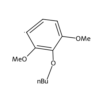 CCCCOc1c(OC)[c]ccc1OC